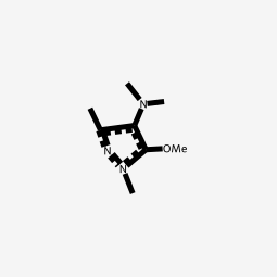 COc1c(N(C)C)c(C)nn1C